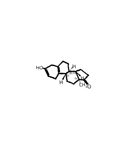 C[C@]12CC[C@@H]3C4=C(CC[C@H]3[C@@H]1CCC2=O)CC(O)=CC4